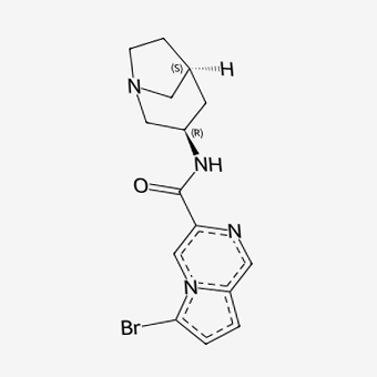 O=C(N[C@@H]1C[C@@H]2CCN(C2)C1)c1cn2c(Br)ccc2cn1